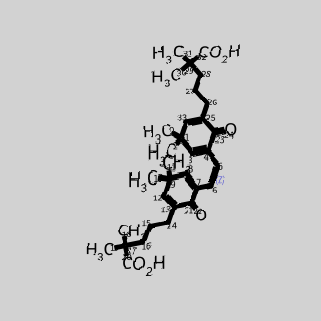 CC1(C)C=C(/C=C\C2=CC(C)(C)C=C(CCCC(C)(C)C(=O)O)C2=O)C(=O)C(CCCC(C)(C)C(=O)O)=C1